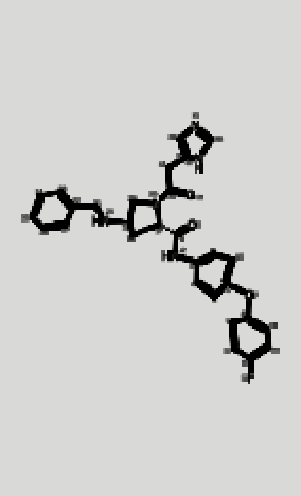 O=C(Nc1ccc(Oc2ccc(F)cc2)cc1)[C@@H]1C[C@@H](NCc2ccccc2)CN1C(=O)Cc1cnc[nH]1